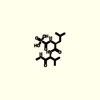 CNC(=O)[C@@H](NC(=O)[C@H](CC(C)C)NC(=O)P(=O)(O)O)C(C)C